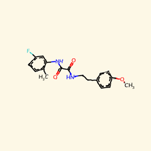 COc1ccc(CCNC(=O)C(=O)Nc2cc(F)ccc2C)cc1